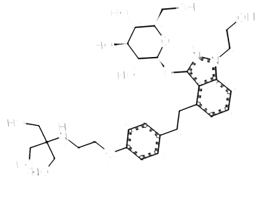 OCCn1nc(O[C@@H]2O[C@H](CO)[C@@H](O)[C@H](O)[C@H]2O)c2c(CCc3ccc(OCCNC(CO)(CO)CO)cc3)cccc21